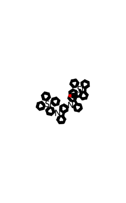 c1ccc([Si](c2ccccc2)(c2ccccc2)c2cccc(-n3c4ccccc4c4cc(-n5c6ccccc6c6c(-c7cccc8c7[Si](c7ccccc7)(c7ccccc7)c7ccccc7-8)cccc65)ccc43)c2)cc1